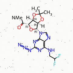 CNC(=O)[C@H]1O[C@@H](n2cnc3c(NCC(F)F)nc(N=[N+]=[N-])nc32)[C@@H]2OC(C)(C)O[C@@H]21